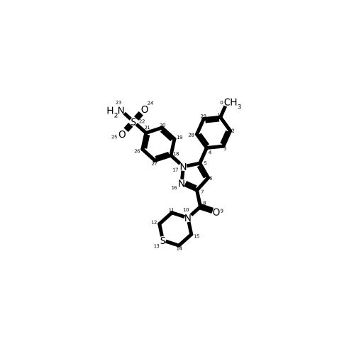 Cc1ccc(-c2cc(C(=O)N3CCSCC3)nn2-c2ccc(S(N)(=O)=O)cc2)cc1